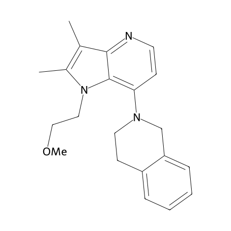 COCCn1c(C)c(C)c2nccc(N3CCc4ccccc4C3)c21